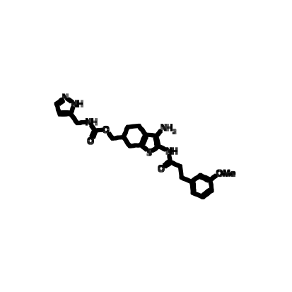 COc1cccc(CCC(=O)Nc2sc3c(c2N)CCC(COC(=O)NCc2ccn[nH]2)C3)c1